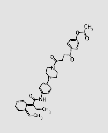 C=C/C(C(=O)Nc1ccc(N2CCN(C(=O)CCC(=O)c3ccc(OC(C)=O)cc3)CC2)cc1)=c1/cccc/c1=C/C